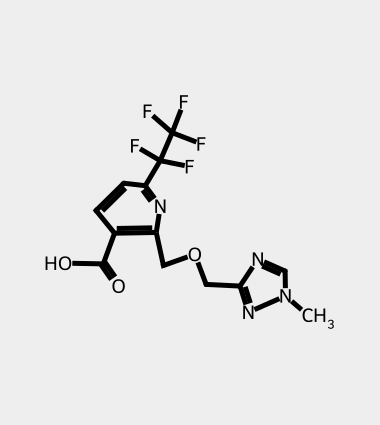 Cn1cnc(COCc2nc(C(F)(F)C(F)(F)F)ccc2C(=O)O)n1